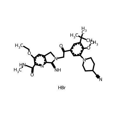 Br.CCOc1cc2c(nc1C(=O)NC)C(=N)N(CC(=O)c1cc(N3CCC(C#N)CC3)c(OC)c(C(C)(C)C)c1)C2